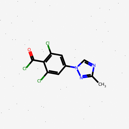 Cc1ncn(-c2cc(Cl)c(C(=O)Cl)c(Cl)c2)n1